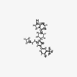 Fc1ccc(-c2cn(CCN3CCC3)c(C3CCN(c4ncnc5c4CCN5)CC3)n2)cc1C(F)(F)F